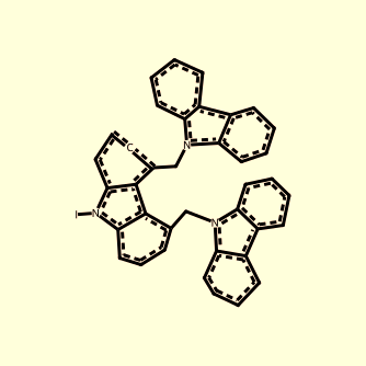 In1c2cccc(Cn3c4ccccc4c4ccccc43)c2c2c(Cn3c4ccccc4c4ccccc43)cccc21